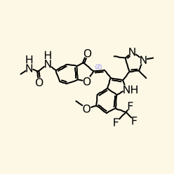 CNC(=O)Nc1ccc2c(c1)C(=O)/C(=C/c1c(-c3c(C)nn(C)c3C)[nH]c3c(C(F)(F)F)cc(OC)cc13)O2